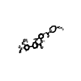 COc1cc(-c2ccc3c(c2)Nc2ccc(CC(=O)N4CCCN(C)CC4)cc2NC3=O)ccc1[N+](=O)[O-]